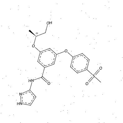 C[C@@H](CO)Oc1cc(Oc2ccc(S(C)(=O)=O)cc2)cc(C(=O)Nc2cc[nH]n2)c1